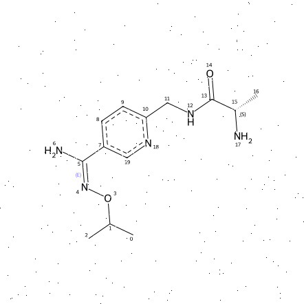 CC(C)O/N=C(/N)c1ccc(CNC(=O)[C@H](C)N)nc1